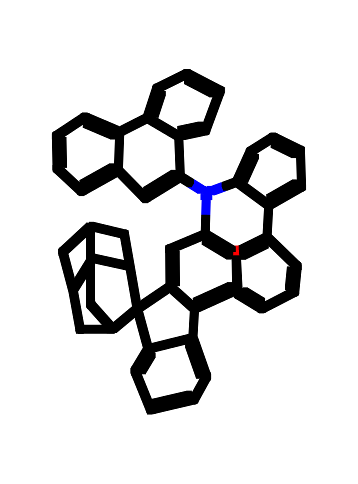 c1ccc(-c2ccccc2N(c2ccc3c(c2)C2(c4ccccc4-3)C3CC4CC(C3)CC2C4)c2cc3ccccc3c3ccccc23)cc1